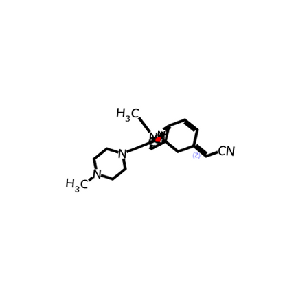 CN1CCN(C2=C3CN(C)CC34C/C(=C/C#N)C=CC4=NC=C2)CC1